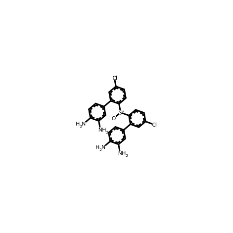 Nc1ccc(-c2cc(Cl)ccc2[S+]([O-])c2ccc(Cl)cc2-c2ccc(N)c(N)c2)cc1N